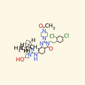 CC(=O)N1CCN(c2nc3cc(NC(=N[C@H]4C[C@@H]5C[C@H]([C@@H]4C)C5(C)C)N4CC(O)C4)ccc3c(=O)n2CCc2ccc(Cl)cc2Cl)CC1